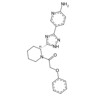 Nc1ccc(-c2n[nH]c([C@H]3CCCCN3C(=O)COc3ccccc3)n2)cn1